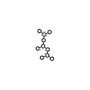 c1ccc(-c2cc(-c3cccc(-c4cc(-c5ccc(-c6nc(-c7ccccc7)nc(-c7ccccc7)n6)cc5)cc(-c5ccccn5)n4)n3)nc(-c3ccccc3)n2)cc1